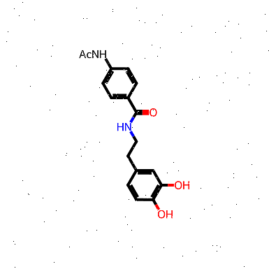 CC(=O)Nc1ccc(C(=O)NCCc2ccc(O)c(O)c2)cc1